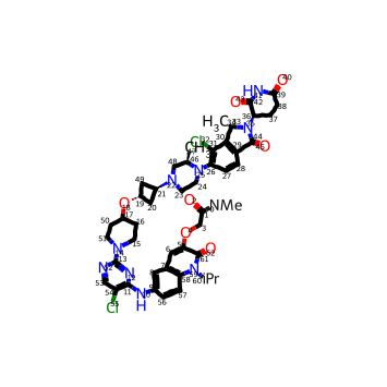 CNC(=O)COc1cc2cc(Nc3nc(N4CCC(O[C@H]5C[C@H](N6CCN(c7ccc8c(c7Cl)[C@@H](C)N([C@@H]7CCC(=O)NC7=O)C8=O)[C@H](C)C6)C5)CC4)ncc3Cl)ccc2n(C(C)C)c1=O